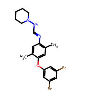 Cc1cc(Oc2cc(Br)cc(Br)c2)c(C)cc1N=CNN1CCCCC1